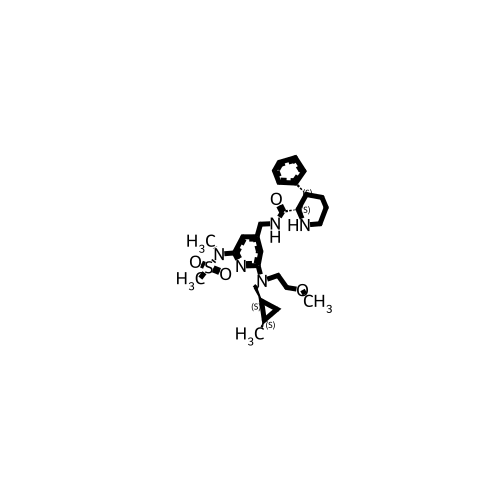 COCCN(C[C@H]1C[C@@H]1C)c1cc(CNC(=O)[C@H]2NCCC[C@H]2c2ccccc2)cc(N(C)S(C)(=O)=O)n1